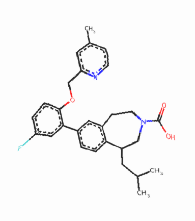 Cc1ccnc(COc2ccc(F)cc2-c2ccc3c(c2)CCN(C(=O)O)CC3CC(C)C)c1